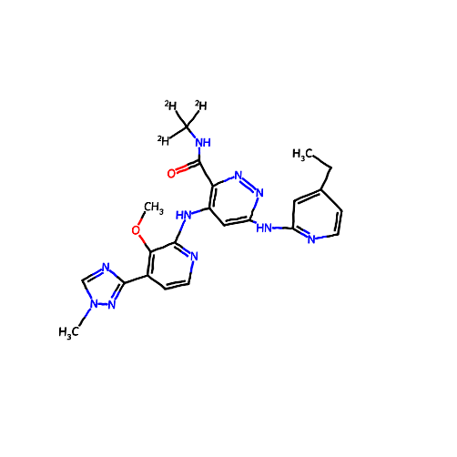 [2H]C([2H])([2H])NC(=O)c1nnc(Nc2cc(CC)ccn2)cc1Nc1nccc(-c2ncn(C)n2)c1OC